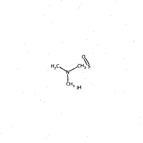 CN(C)C.I.O=S